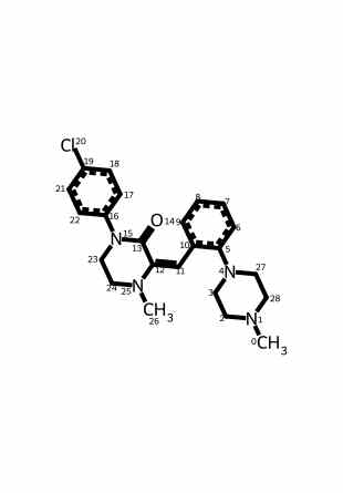 CN1CCN(c2ccccc2C=C2C(=O)N(c3ccc(Cl)cc3)CCN2C)CC1